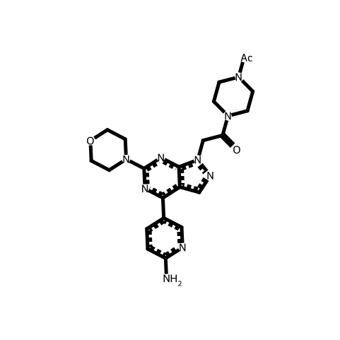 CC(=O)N1CCN(C(=O)Cn2ncc3c(-c4ccc(N)nc4)nc(N4CCOCC4)nc32)CC1